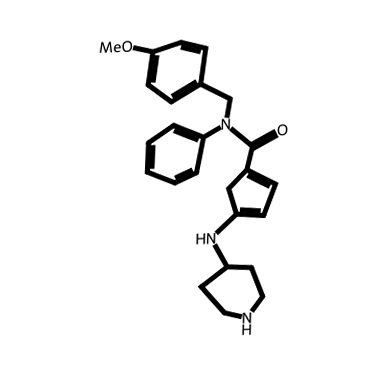 COc1ccc(CN(C(=O)C2=CC=C(NC3CCNCC3)C2)c2ccccc2)cc1